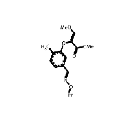 CO/C=C(\Oc1cc(/C=N/OC(C)C)ccc1C)C(=O)OC